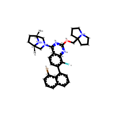 Fc1c(-c2cccc3cccc(Br)c23)ccc2c(N3C[C@H]4CC[C@@H](C3)N4)nc(OCC34CCCN3CCC4)nc12